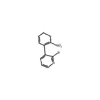 O=[N+]([O-])C1=C(c2cccnc2Br)C=CC[CH]1